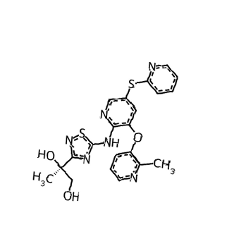 Cc1ncccc1Oc1cc(Sc2ccccn2)cnc1Nc1nc([C@](C)(O)CO)ns1